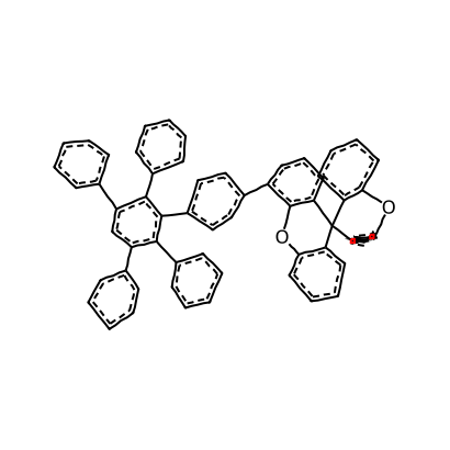 c1ccc(-c2cc(-c3ccccc3)c(-c3ccccc3)c(-c3ccc(-c4cccc5c4Oc4ccccc4C54c5ccccc5Oc5ccccc54)cc3)c2-c2ccccc2)cc1